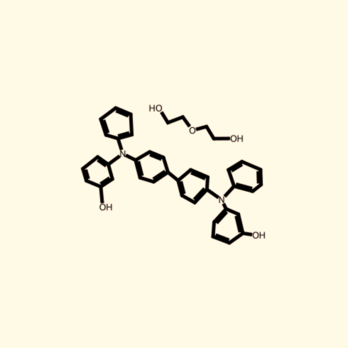 OCCOCCO.Oc1cccc(N(c2ccccc2)c2ccc(-c3ccc(N(c4ccccc4)c4cccc(O)c4)cc3)cc2)c1